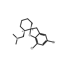 CN(C)C[C@H]1CCCC[C@]12Cc1cc(Br)cc(Cl)c1O2